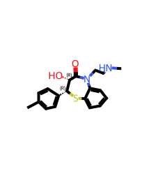 CNCCN1C(=O)[C@@H](O)[C@@H](c2ccc(C)cc2)Sc2ccccc21